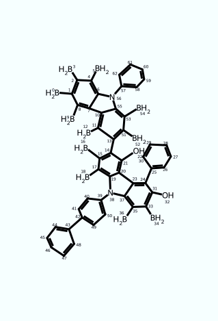 Bc1c(B)c(B)c2c(c1B)c1c(B)c(-c3c(B)c(B)c4c(c3O)c3c(-c5ccccc5)c(O)c(B)c(B)c3n4-c3ccc(-c4ccccc4)cc3)c(B)c(B)c1n2-c1ccccc1